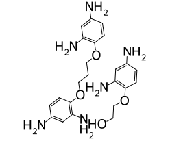 Nc1ccc(OCCCOc2ccc(N)cc2N)c(N)c1.Nc1ccc(OCCO)c(N)c1